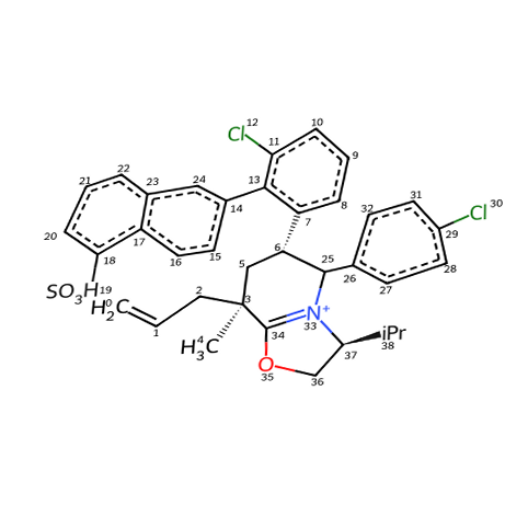 C=CC[C@@]1(C)C[C@H](c2cccc(Cl)c2-c2ccc3c(S(=O)(=O)O)cccc3c2)C(c2ccc(Cl)cc2)[N+]2=C1OC[C@@H]2C(C)C